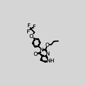 CCCOc1nc2[nH]ccc2c(=O)n1-c1ccc(OCC(F)(F)F)cc1